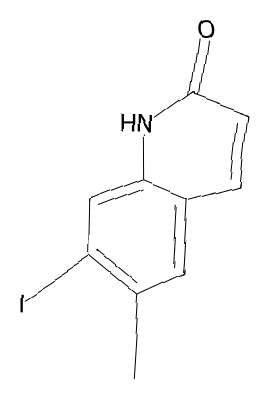 Cc1cc2ccc(=O)[nH]c2cc1I